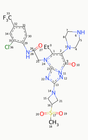 CCc1c(N2CCNCC2)c(=O)n2nc(N3CC(S(C)(=O)=O)C3)nc2n1CC(=O)Nc1ccc(C(F)(F)F)cc1Cl